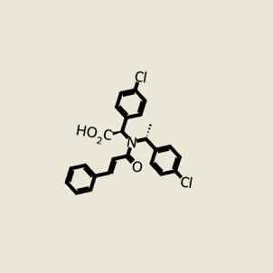 C[C@H](c1ccc(Cl)cc1)N(C(=O)/C=C/c1ccccc1)[C@@H](C(=O)O)c1ccc(Cl)cc1